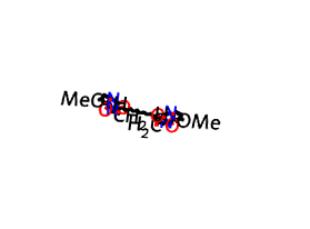 C=C1CN2C(=O)c3cc(OC)ccc3N=C[C@@H]2C1OCCCCCCCCCOC1C(=C)CN2C(=O)c3cc(OC)ccc3N=C[C@H]12